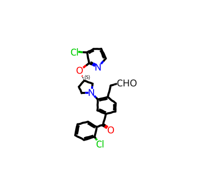 O=CCc1ccc(C(=O)c2ccccc2Cl)cc1N1CC[C@H](Oc2ncccc2Cl)C1